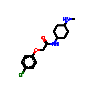 CNC1CCC(NC(=O)COc2ccc(Cl)cc2)CC1